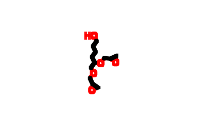 OCCCCC(COCC1CO1)OCC1CO1